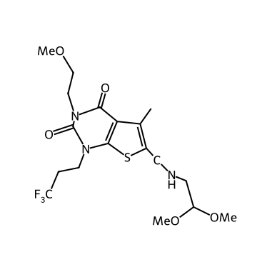 COCCn1c(=O)c2c(C)c(CNCC(OC)OC)sc2n(CCC(F)(F)F)c1=O